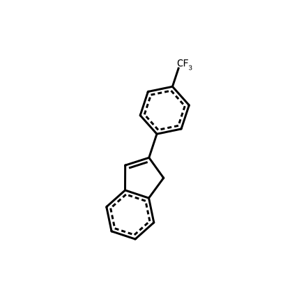 FC(F)(F)c1ccc(C2=Cc3ccccc3C2)cc1